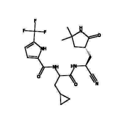 CC1(C)C[C@@H](C[C@@H](C#N)NC(=O)C(CC2CC2)NC(=O)c2ccc(C(F)(F)F)[nH]2)C(=O)N1